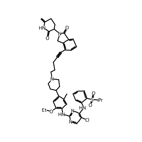 C=C1CCC(N2Cc3c(C#CCCCN4CCC(c5cc(OCC)c(Nc6ncc(Cl)c(Nc7ccccc7S(=O)(=O)C(C)C)n6)cc5C)CC4)cccc3C2=O)C(=O)N1